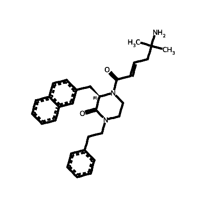 CC(C)(N)CC=CC(=O)N1CCN(CCc2ccccc2)C(=O)[C@H]1Cc1ccc2ccccc2c1